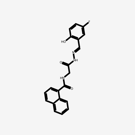 O=C(CNC(=O)c1cccc2ccccc12)NN=Cc1cc(F)ccc1O